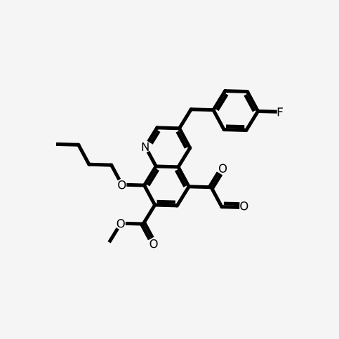 CCCCOc1c(C(=O)OC)cc(C(=O)C=O)c2cc(Cc3ccc(F)cc3)cnc12